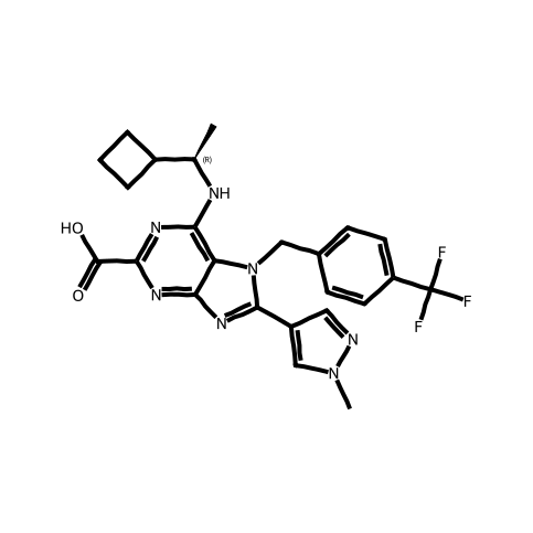 C[C@@H](Nc1nc(C(=O)O)nc2nc(-c3cnn(C)c3)n(Cc3ccc(C(F)(F)F)cc3)c12)C1CCC1